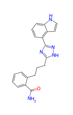 NC(=O)c1ccccc1CC[CH]c1nc(-c2cccc3[nH]ccc23)n[nH]1